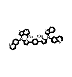 CC(C)(C)n1c(-c2ccc(-c3ccc(N(c4ccc5ncccc5c4)c4csc5ccccc45)n3C(C)(C)C)cc2)ccc1N(c1ccc2ncccc2c1)c1csc2ccccc12